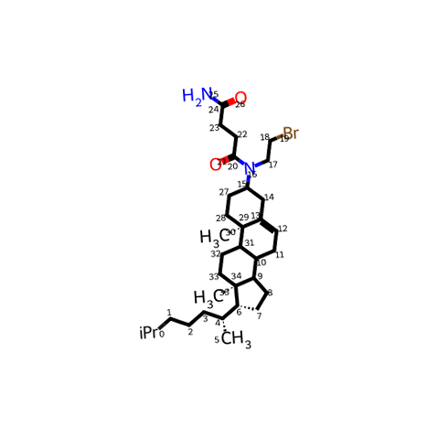 CC(C)CCC[C@@H](C)[C@H]1CCC2C3CC=C4CC(N(CCBr)C(=O)CCC(N)=O)CC[C@]4(C)C3CC[C@@]21C